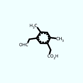 Cc1cc(C)c(CC(=O)O)cc1CC=O